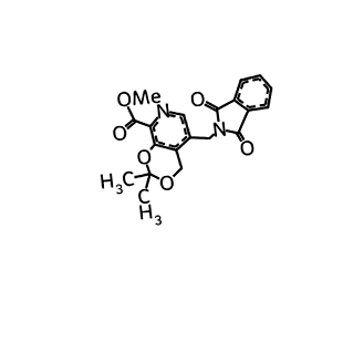 COC(=O)c1ncc(CN2C(=O)c3ccccc3C2=O)c2c1OC(C)(C)OC2